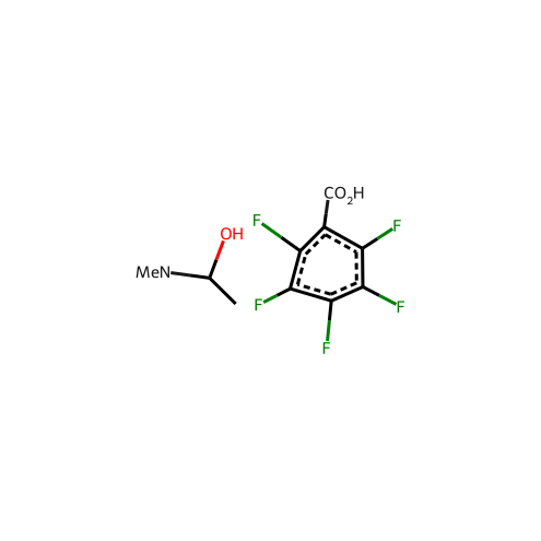 CNC(C)O.O=C(O)c1c(F)c(F)c(F)c(F)c1F